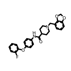 O=C(Nc1ccc(Oc2ccccc2F)cc1)C1CCN(Cc2cccc3c2OCO3)CC1